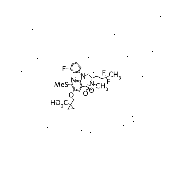 CSc1nc2c(cc1OCC1(C(=O)O)CC1)S(=O)(=O)N(C)[C@H](CCC(C)(F)F)CN2c1cccc(F)c1